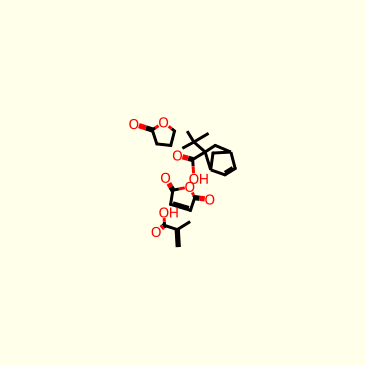 C=C(C)C(=O)O.CC(C)(C)C1(C(=O)O)CC2C=CC1C2.O=C1C=CC(=O)O1.O=C1CCCO1